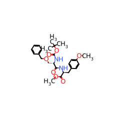 COC(=O)[C@H](Cc1ccc(OC)cc1)NC(=O)[C@H](COCc1ccccc1)NC(=O)OC(C)(C)C